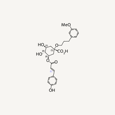 COc1cccc(CCCO[C@@]2(C(=O)O)C[C@H](O)[C@@H](O)[C@H](OC(=O)/C=C/c3ccc(O)cc3)C2)c1